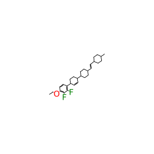 CCOc1ccc(C2C=CC(C3CCC(/C=C/C4CCC(C)CC4)CC3)CC2)c(F)c1F